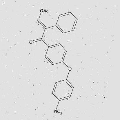 CC(=O)O/N=C(/C(=O)c1ccc(Oc2ccc([N+](=O)[O-])cc2)cc1)c1ccccc1